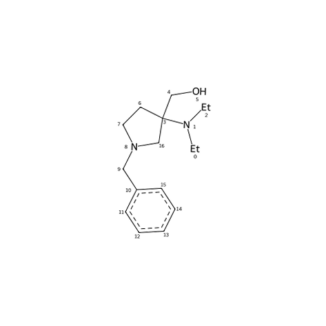 CCN(CC)C1(CO)CCN(Cc2ccccc2)C1